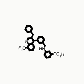 O=C(O)c1cccc(NCc2cccc(-c3c(Cc4ccccc4)cnc4c(C(F)(F)F)cccc34)c2)c1